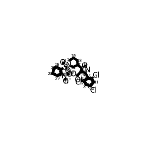 O=C(O)c1c(-c2c(Cl)cc(Cl)cc2Cl)noc1C1CCCN(S(=O)(=O)c2ccccc2[N+](=O)[O-])C1